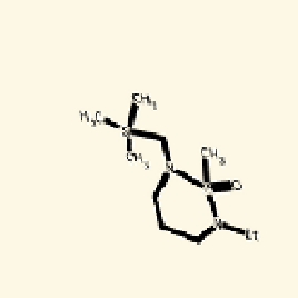 CCN1CCCN(C[Si](C)(C)C)P1(C)=O